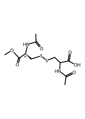 COC(=O)[C@H](CSSCC(NC(C)=O)C(=O)O)NC(C)=O